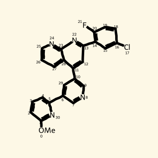 COc1cccc(-c2cncc(-c3cc(-c4cc(Cl)ccc4F)nc4ncccc34)c2)n1